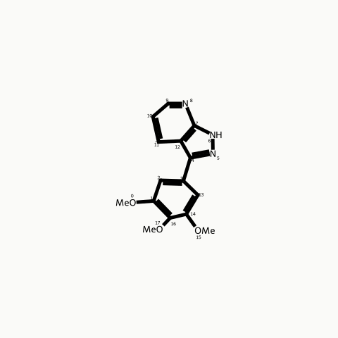 COc1cc(-c2n[nH]c3ncc[c]c23)cc(OC)c1OC